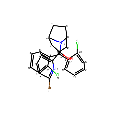 OC1(c2cccc(Br)n2)CC2CCC(C1)N2C(c1ccccc1Cl)c1ccccc1Cl